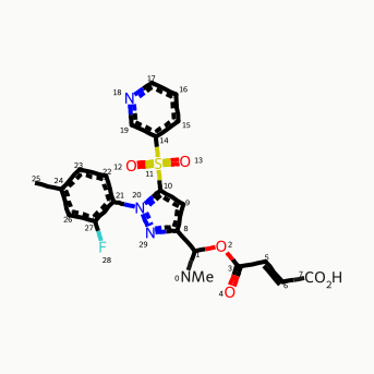 CNC(OC(=O)/C=C/C(=O)O)c1cc(S(=O)(=O)c2cccnc2)n(-c2ccc(C)cc2F)n1